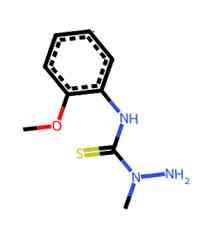 COc1cc[c]cc1NC(=S)N(C)N